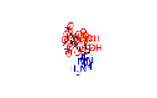 CC(=O)OC[C@@H](OC(C)=O)C(OC([C@H](C)OC(C)=O)[C@@H](COC(C)=O)OC(C)=O)OP(=O)(O)OP(=O)(O)OCC1OC(n2cnc3c(N)ncnc32)C(F)C1O